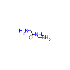 BCNC(=O)CN